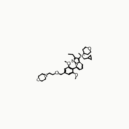 CCc1nn2c(-c3c(OC)cc(COCCN4CCOCC4)cc3OC)cccc2c1[N+](C)(CC1CC1)C1CCOCC1